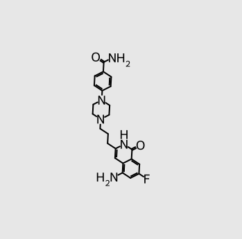 NC(=O)c1ccc(N2CCN(CCCc3cc4c(N)cc(F)cc4c(=O)[nH]3)CC2)cc1